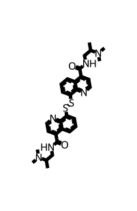 CC(CNC(=O)c1ccnc2c(SSc3cccc4c(C(=O)NCC(C)N(C)C)ccnc34)cccc12)N(C)C